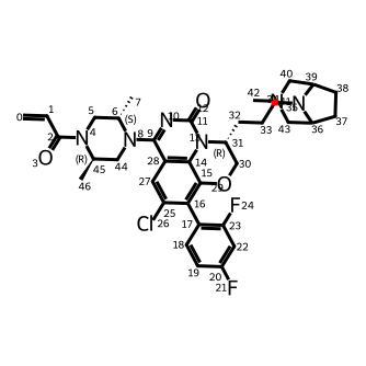 C=CC(=O)N1C[C@H](C)N(c2nc(=O)n3c4c(c(-c5ccc(F)cc5F)c(Cl)cc24)OC[C@H]3CCCN2C3CCC2CN(C)C3)C[C@H]1C